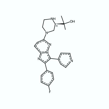 CC(C)(O)[C@H]1CN(c2ccc3nc(-c4ccc(F)cc4)c(-c4ccncc4)n3n2)CCN1